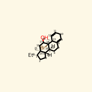 CC[C@H]1CC[C@H]2[C@@H]3CCC4=CCC=C[C@]4(C)[C@@]3(Br)C(O)C[C@]12C